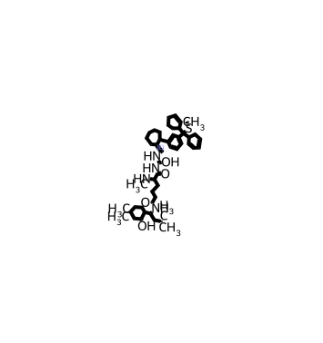 CNC(CCCCNC(CC(C)C)C1C(=O)CC(C)(C)CC1O)C(=O)NC(O)N/C=C1\CCCCCC1c1cccc(C(SC)(C2C=CC=CC2)C2C=CCCC2)c1